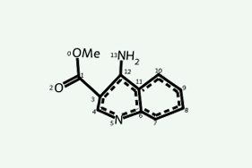 COC(=O)c1cnc2ccccc2c1N